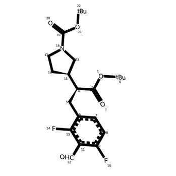 CC(C)(C)OC(=O)[C@@H](Cc1ccc(F)c(C=O)c1F)[C@H]1CCN(C(=O)OC(C)(C)C)C1